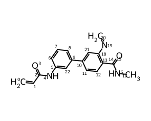 C=CC(=O)Nc1cccc(-c2ccc(C(=O)NC)c(N=C)c2)c1